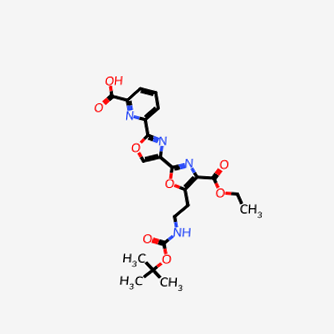 CCOC(=O)c1nc(-c2coc(-c3cccc(C(=O)O)n3)n2)oc1CCNC(=O)OC(C)(C)C